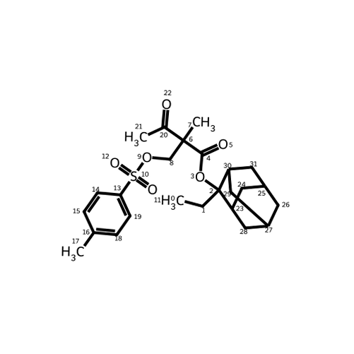 CCC1(OC(=O)C(C)(COS(=O)(=O)c2ccc(C)cc2)C(C)=O)C2CC3CC(C2)CC1C3